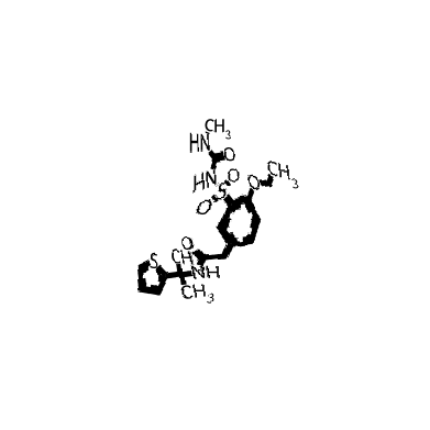 CCOc1ccc(CC(=O)NC(C)(C)c2cccs2)cc1S(=O)(=O)NC(=O)NC